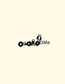 COc1ccc(NC(=O)N2CCC(COc3ccccc3)CC2)cc1N1CCN(C)CC1